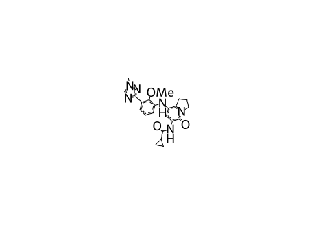 COc1c(Nc2cc(NC(=O)C3CC3)c(=O)n3c2CCC3)cccc1-c1ncn(C)n1